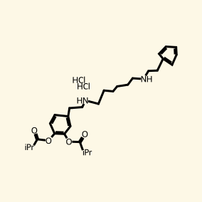 CC(C)C(=O)Oc1ccc(CCNCCCCCCNCCc2ccccc2)cc1OC(=O)C(C)C.Cl.Cl